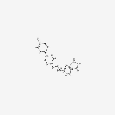 Cc1ccc(N2CCN(CCNc3ccc4c(c3)OCO4)CC2)cc1